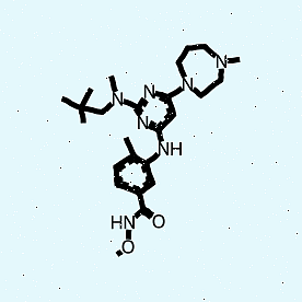 CONC(=O)c1ccc(C)c(Nc2cc(N3CCCN(C)CC3)nc(N(C)CC(C)(C)C)n2)c1